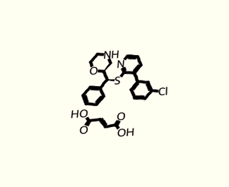 Clc1cccc(-c2cccnc2S[C@@H](c2ccccc2)[C@@H]2CNCCO2)c1.O=C(O)/C=C/C(=O)O